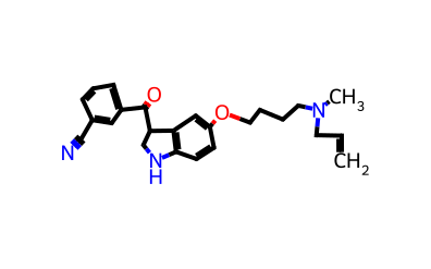 C=CCN(C)CCCCOc1ccc2c(c1)C(C(=O)c1cccc(C#N)c1)CN2